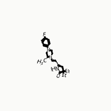 CCC1(CC)C[C@H](CCN2CCN(c3ccc(F)cc3)C[C@H]2C)NC1=O